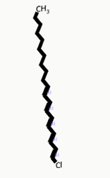 CCCCCCCCCC/C=C/C=C/C=C/C=C/C=C/Cl